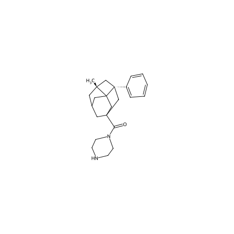 C[C@]12CC3CC4(C(=O)N5CCNCC5)CC1(C3)[C@](c1ccccc1)(C4)C2